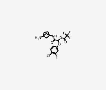 NC12CCC(NC(=O)C(OC(=O)C(F)(F)F)Oc3ccc(Cl)c(F)c3)(C1)C2